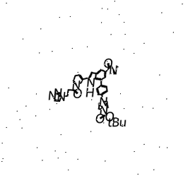 CN(C)C(=O)c1cc(-c2ccc(N3CCN(C(=O)OC(C)(C)C)CC3)cc2)c2[nH]c(C3=CCCN(C(=O)CCn4ccnn4)C3)cc2c1